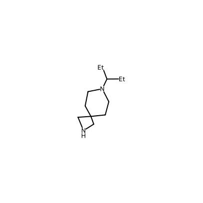 CCC(CC)N1CCC2(CC1)CNC2